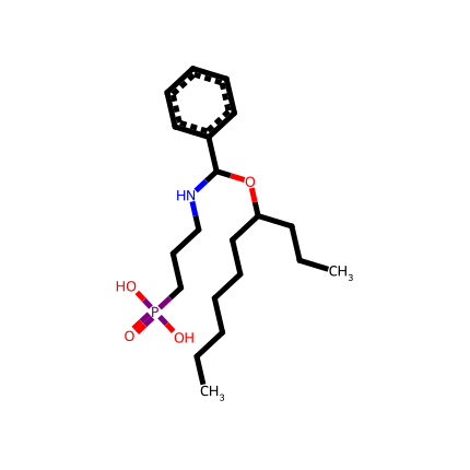 CCCCCCC(CCC)OC(NCCCP(=O)(O)O)c1ccccc1